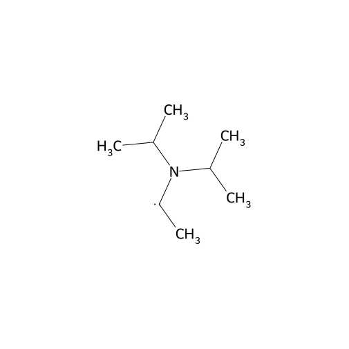 C[CH]N(C(C)C)C(C)C